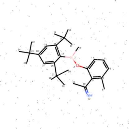 CB(Oc1cccc(C)c1C(C)=N)c1c(C(C)(C)C)cc(C(C)(C)C)cc1C(C)(C)C